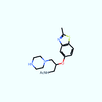 CC(=O)NCC(CN1CCNCC1)Oc1ccc2sc(C)nc2c1